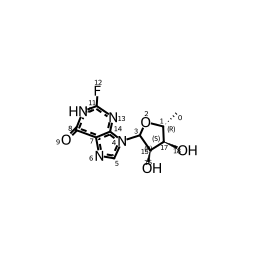 C[C@H]1OC(n2cnc3c(=O)[nH]c(F)nc32)[C@H](O)[C@@H]1O